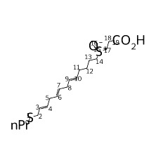 CCCSC/C=C/C/C=C/C/C=C/CCCC[S+]([O-])CCC(=O)O